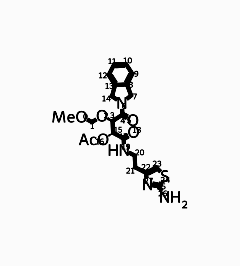 COCO[C@@H](C(=O)N1Cc2ccccc2C1)[C@@H](OC(C)=O)C(=O)NCCc1csc(N)n1